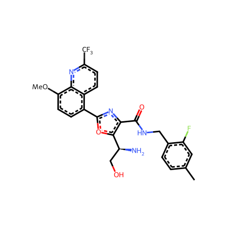 COc1ccc(-c2nc(C(=O)NCc3ccc(C)cc3F)c([C@@H](N)CO)o2)c2ccc(C(F)(F)F)nc12